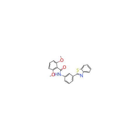 COc1cccc(OC)c1C(=O)Nc1cccc(-c2nc3ccccc3s2)c1